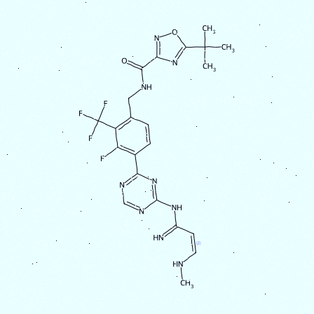 CN/C=C\C(=N)Nc1ncnc(-c2ccc(CNC(=O)c3noc(C(C)(C)C)n3)c(C(F)(F)F)c2F)n1